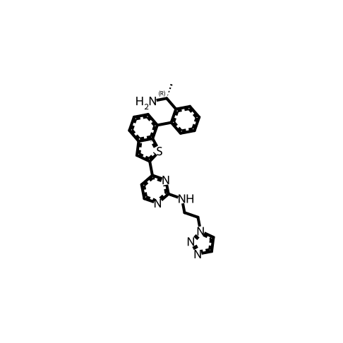 C[C@@H](N)c1ccccc1-c1cccc2cc(-c3ccnc(NCCn4ccnn4)n3)sc12